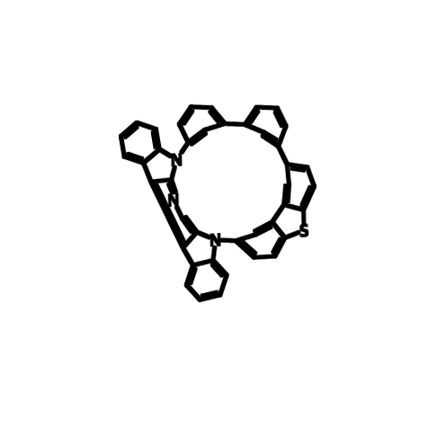 c1cc2cc(c1)c1cccc(c1)n1c3ccccc3c3c4c5ccccc5n(c5ccc6sc7ccc2cc7c6c5)c4cnc31